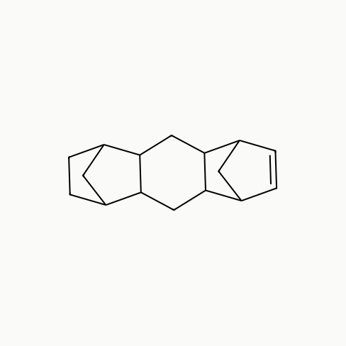 C1=CC2CC1C1CC3C4CCC(C4)C3CC21